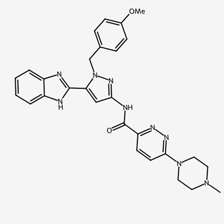 COc1ccc(Cn2nc(NC(=O)c3ccc(N4CCN(C)CC4)nn3)cc2-c2nc3ccccc3[nH]2)cc1